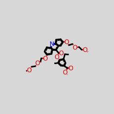 CCc1cc(C(=O)OC)cc(C)c1OC(=O)c1c2cc(OCCOCCOC)ccc2nc2ccc(OCCOCCOC)cc12